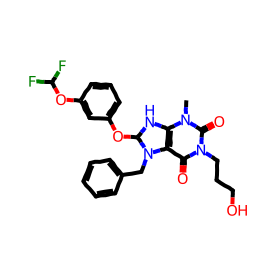 Cn1c2c(c(=O)n(CCCO)c1=O)N(Cc1ccccc1)C(Oc1cccc(OC(F)F)c1)N2